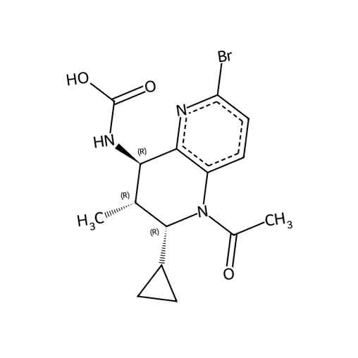 CC(=O)N1c2ccc(Br)nc2[C@H](NC(=O)O)[C@@H](C)[C@H]1C1CC1